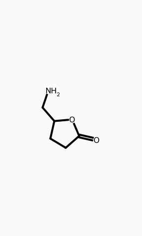 NCC1CCC(=O)O1